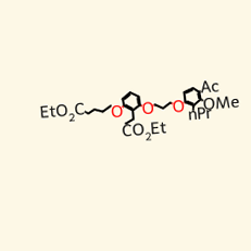 CCCc1c(OCCCOc2cccc(OCCCCC(=O)OCC)c2CCC(=O)OCC)ccc(C(C)=O)c1OC